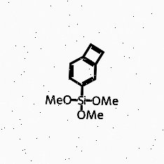 CO[Si](OC)(OC)c1ccc2c(c1)C=C2